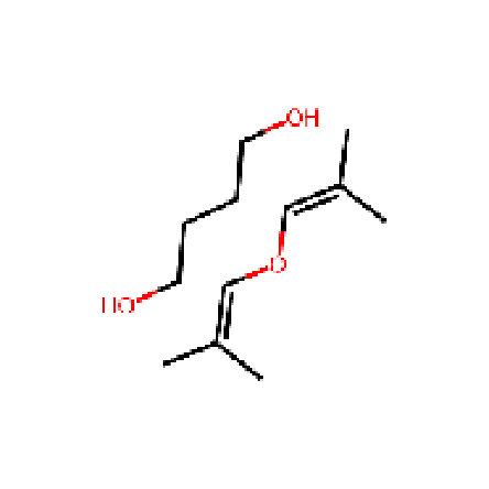 CC(C)=COC=C(C)C.OCCCCO